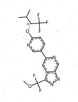 COC(F)(F)c1nnc2cnc(-c3ccc(O[C@H](C(C)C)C(F)(F)F)nc3)cn12